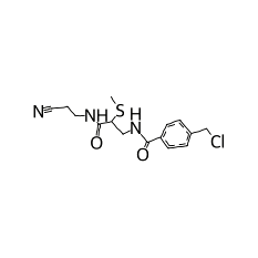 CSC(CNC(=O)c1ccc(CCl)cc1)C(=O)NCCC#N